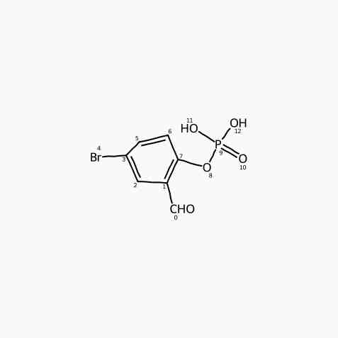 O=Cc1cc(Br)ccc1OP(=O)(O)O